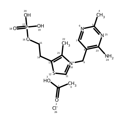 CC(=O)O.Cc1ncc(C[n+]2csc(CCOP(=O)(O)O)c2C)c(N)n1.[Cl-]